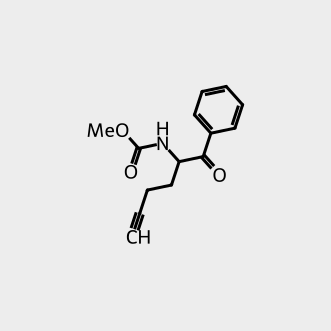 C#CCCC(NC(=O)OC)C(=O)c1ccccc1